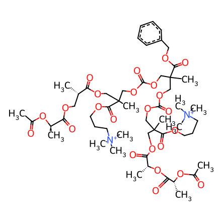 CC(=O)O[C@H](C)C(=O)OC[C@H](C)C(=O)OCC(C)(COC(=O)OCC(C)(COC(=O)OCC(C)(COC(=O)[C@@H](C)OC(=O)[C@@H](C)OC(C)=O)C(=O)OCCC[N+](C)(C)C)C(=O)OCc1ccccc1)C(=O)OCCC[N+](C)(C)C